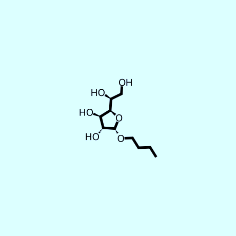 CCCCO[C@H]1O[C@H]([C@@H](O)CO)[C@H](O)[C@H]1O